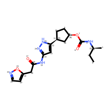 CC[C@H](C)NC(=O)O[C@@H]1CC[C@H](c2cc(NC(=O)Cc3ccno3)n[nH]2)C1